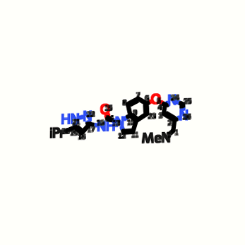 CNCc1cc(Oc2ccc3c(ccn3C(=O)Nc3cc(C(C)C)[nH]n3)c2)ncn1